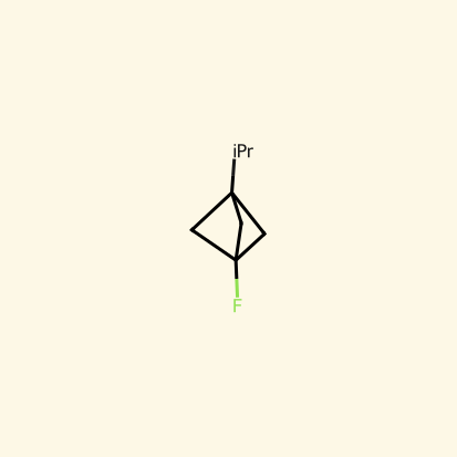 CC(C)C12CC(F)(C1)C2